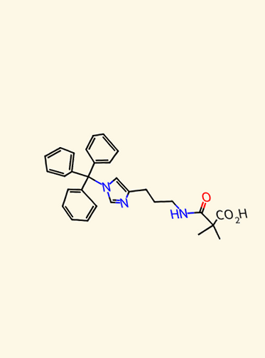 CC(C)(C(=O)O)C(=O)NCCCc1cn(C(c2ccccc2)(c2ccccc2)c2ccccc2)cn1